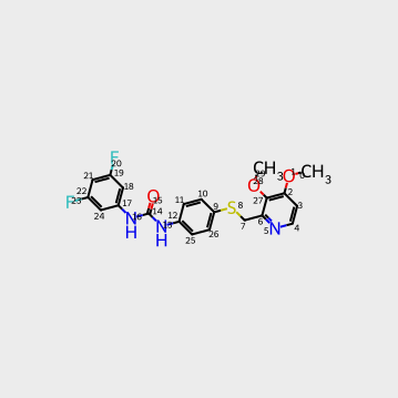 COc1ccnc(CSc2ccc(NC(=O)Nc3cc(F)cc(F)c3)cc2)c1OC